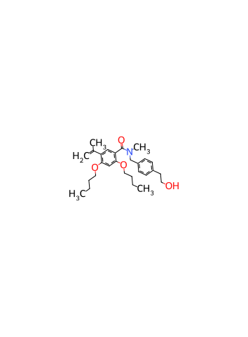 C=C(C)c1cc(C(=O)N(C)Cc2ccc(CCO)cc2)c(OCCCC)cc1OCCCC